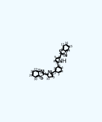 C1=C(c2cccc(-c3ccc(-c4nc5ccccc5s4)[nH]3)c2)N=C(c2nc3ccccc3s2)C1